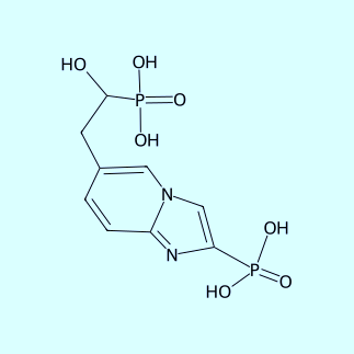 O=P(O)(O)c1cn2cc(CC(O)P(=O)(O)O)ccc2n1